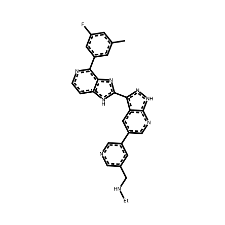 CCNCc1cncc(-c2cnc3[nH]nc(-c4nc5c(-c6cc(C)cc(F)c6)nccc5[nH]4)c3c2)c1